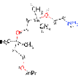 CCCOCCC(C)(C)OCCC(C)(C)OCCN